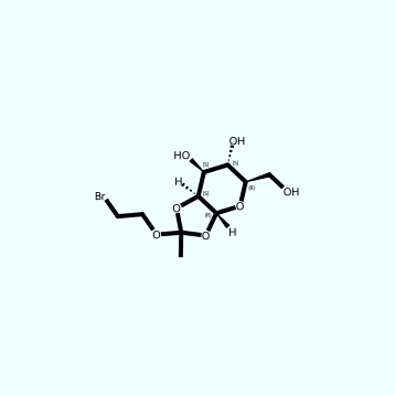 CC1(OCCBr)O[C@H]2O[C@H](CO)[C@@H](O)[C@H](O)[C@@H]2O1